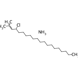 CCCCCCCCCCCCCCCCC(Cl)C=C(C)C.N